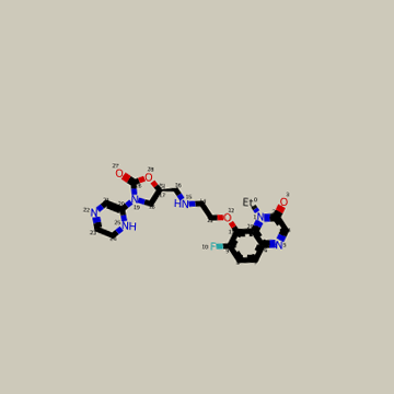 CCn1c(=O)cnc2ccc(F)c(OCCNC[C@H]3CN(C4=CN=CCN4)C(=O)O3)c21